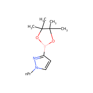 CCCn1ccc(B2OC(C)(C)C(C)(C)O2)n1